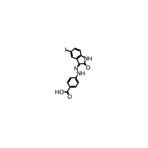 O=C1Nc2ccc(I)cc2C1=NNc1ccc(C(=O)O)cc1